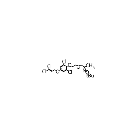 CC(COCCOc1c(Cl)cc(OCC=C(Cl)Cl)cc1Cl)=NOC(C)(C)C